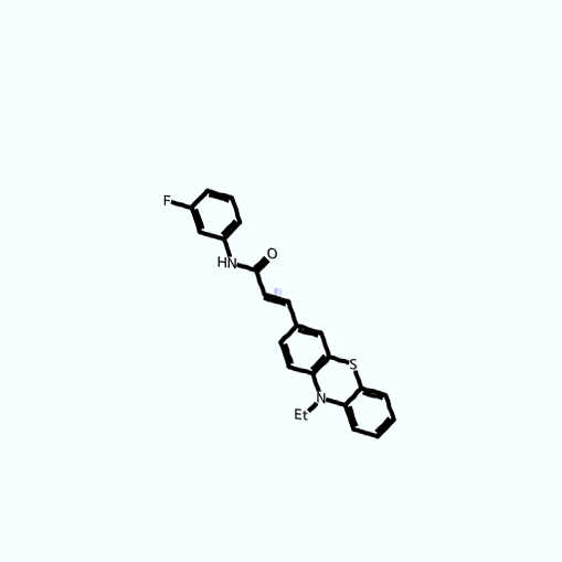 CCN1c2ccccc2Sc2cc(/C=C/C(=O)Nc3cccc(F)c3)ccc21